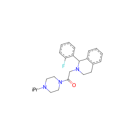 CC(C)N1CCN(C(=O)CN2CCc3ccccc3C2c2ccccc2F)CC1